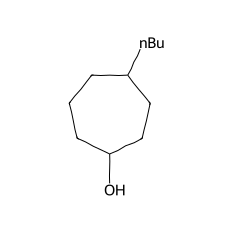 CCCCC1CCCC(O)CC1